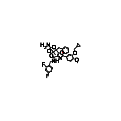 COc1ccc(-c2nc(C(=O)NCc3ccc(F)cc3F)c(C(Cc3ccccc3)(OC(N)=O)C(C)(C)C)o2)cc1OCC1CC1